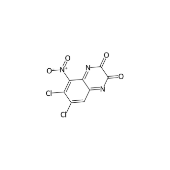 O=C1N=c2cc(Cl)c(Cl)c([N+](=O)[O-])c2=NC1=O